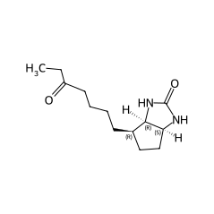 CCC(=O)CCCC[C@@H]1CC[C@@H]2NC(=O)N[C@H]12